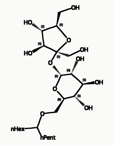 CCCCCCC(CCCCC)OC[C@H]1O[C@H](O[C@]2(CO)O[C@H](CO)[C@@H](O)[C@@H]2O)[C@H](O)[C@@H](O)[C@@H]1O